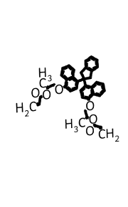 C=CC(=O)OC(C)COc1ccc(C2(c3ccc(OCC(C)OC(=O)C=C)c4ccccc34)Cc3ccccc3C2)c2ccccc12